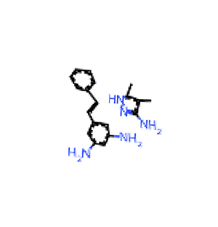 Cc1[nH]nc(N)c1C.Nc1cc(N)cc(C=Cc2ccccc2)c1